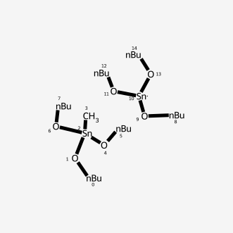 CCCC[O][Sn]([CH3])([O]CCCC)[O]CCCC.CCCC[O][Sn]([O]CCCC)[O]CCCC